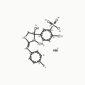 Br.CN1/C(=N\c2ccc(F)cc2)SCC1(O)c1ccc(Cl)c(S(=O)(=O)Cl)c1